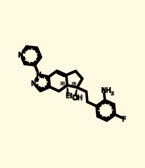 CC[C@]12Cc3cnn(-c4cccnc4)c3C=C1CC[C@@]2(O)CCc1ccc(F)cc1N